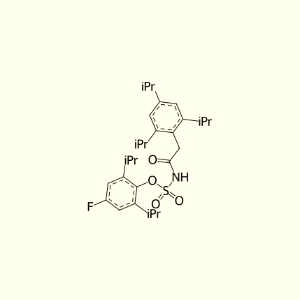 CC(C)c1cc(C(C)C)c(CC(=O)NS(=O)(=O)Oc2c(C(C)C)cc(F)cc2C(C)C)c(C(C)C)c1